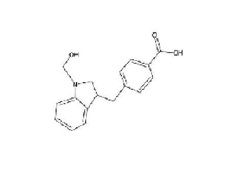 O=C(O)c1ccc(CC2CN(CO)c3ccccc32)cc1